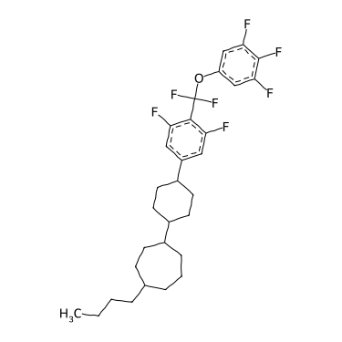 CCCCC1CCCC(C2CCC(c3cc(F)c(C(F)(F)Oc4cc(F)c(F)c(F)c4)c(F)c3)CC2)CC1